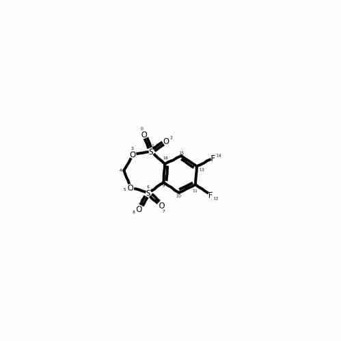 O=S1(=O)OCOS(=O)(=O)c2cc(F)c(F)cc21